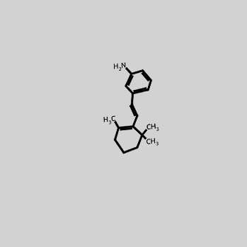 CC1=C(/C=C/c2cccc(N)c2)C(C)(C)CCC1